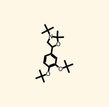 CC(C)(C)Oc1ccc(C2CN(C(C)(C)C)C(C)(C)O2)cc1OC(C)(C)C